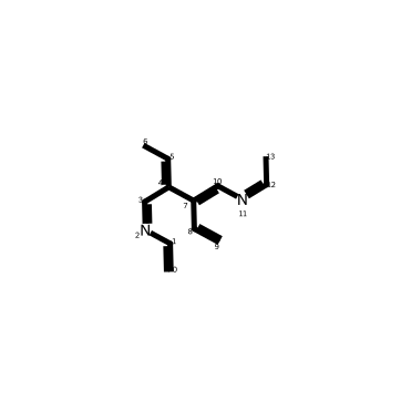 C=C\N=C/C(=C\C)C(/C=C)=C/N=C\C